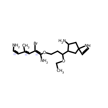 CCOC(CCO/C(N)=C(Br)/C=C(C)/C=C\N)C1CC2(C=CN2)CC1N